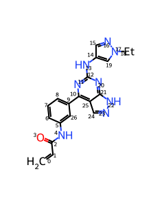 C=CC(=O)Nc1cccc(-c2nc(Nc3cnn(CC)c3)nc3[nH]ncc23)c1